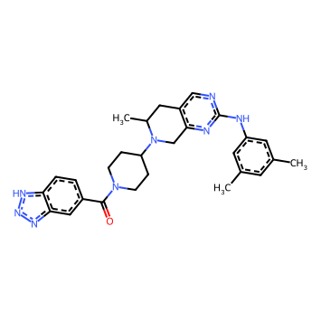 Cc1cc(C)cc(Nc2ncc3c(n2)CN(C2CCN(C(=O)c4ccc5[nH]nnc5c4)CC2)C(C)C3)c1